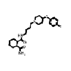 NC(=O)C1CCCCC1C(=O)NCCCCN1CCC(Sc2ccc(F)cc2)CC1